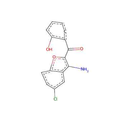 Nc1c(C(=O)c2ccccc2O)oc2ccc(Cl)cc12